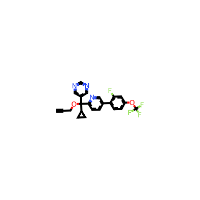 C#CCOC(c1cncnc1)(c1ccc(-c2ccc(OC(F)(F)F)cc2F)cn1)C1CC1